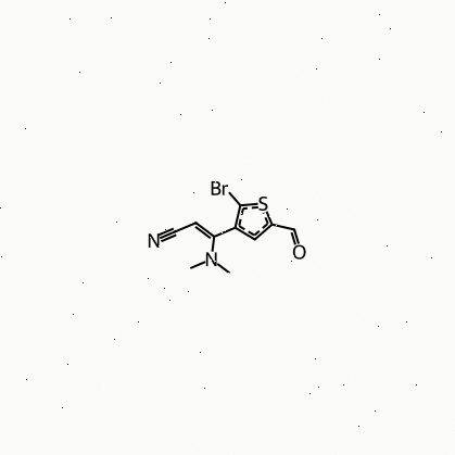 CN(C)C(=CC#N)c1cc(C=O)sc1Br